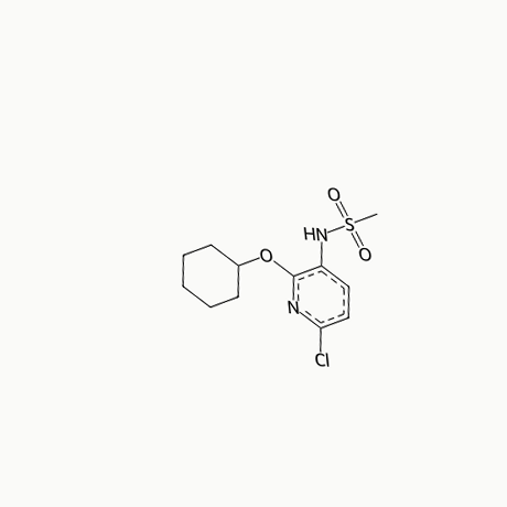 CS(=O)(=O)Nc1ccc(Cl)nc1OC1CCCCC1